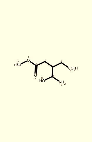 CCCCOC(=O)CC(CC(=O)O)C(N)O